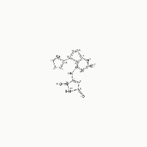 Cl.O=C1C=C(Nc2ncnc3scc(-c4cccs4)c23)C(=O)N1